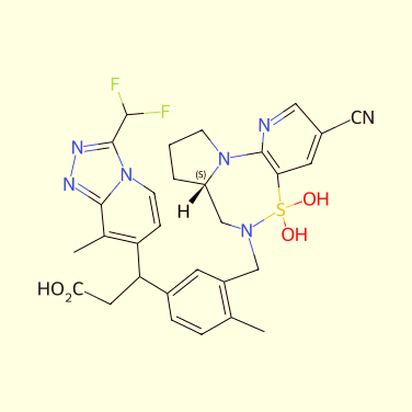 Cc1ccc(C(CC(=O)O)c2ccn3c(C(F)F)nnc3c2C)cc1CN1C[C@@H]2CCCN2c2ncc(C#N)cc2S1(O)O